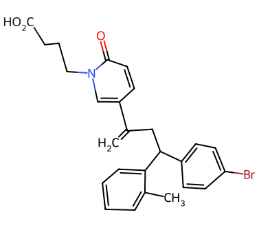 C=C(CC(c1ccc(Br)cc1)c1ccccc1C)c1ccc(=O)n(CCCC(=O)O)c1